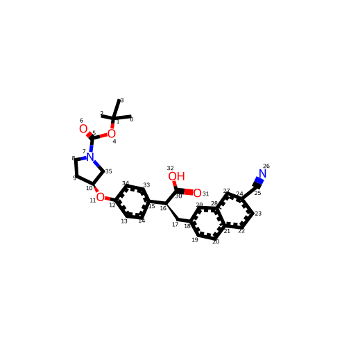 CC(C)(C)OC(=O)N1CC[C@H](Oc2ccc([C@H](Cc3ccc4ccc(C#N)cc4c3)C(=O)O)cc2)C1